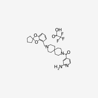 Nc1cc(C(=O)N2CCC3(CCN(Cc4cccc5c4OC4(CCCC4)O5)CC3)CC2)ccn1.O=C(O)C(F)(F)F